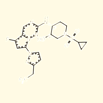 O=S(=O)(C1CC1)N1CC[C@@H](Nc2ncc3c(F)cc(-n4ccc(CC(F)(F)F)n4)n3n2)[C@H](O)C1